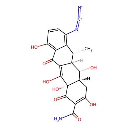 C[C@H]1c2c(N=[N+]=[N-])ccc(O)c2C(=O)C2=C(O)[C@]3(O)C(=O)C(C(N)=O)=C(O)C[C@@H]3[C@@H](O)[C@@H]21